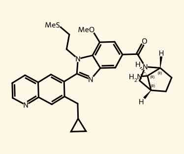 COc1cc(C(=O)N2C[C@H]3CC[C@@H]2[C@@H]3N)cc2nc(-c3cc4cccnc4cc3CC3CC3)n(CCSC)c12